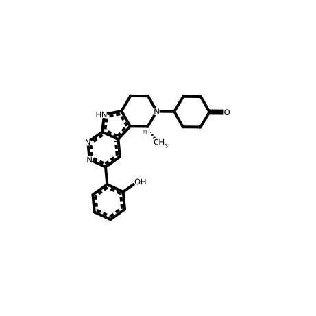 C[C@@H]1c2c([nH]c3nnc(-c4ccccc4O)cc23)CCN1C1CCC(=O)CC1